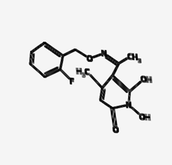 C/C(=N/OCc1ccccc1F)c1c(C)cc(=O)n(O)c1O